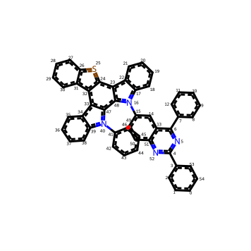 c1ccc(-c2nc(-c3ccccc3)c3cc(-n4c5ccccc5c5c6sc7ccccc7c6c6c7ccccc7n(-c7ccccc7)c6c54)ccc3n2)cc1